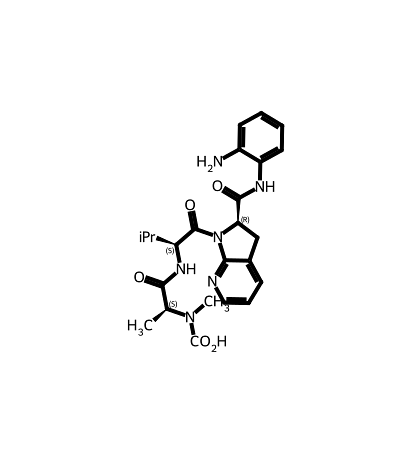 CC(C)[C@H](NC(=O)[C@H](C)N(C)C(=O)O)C(=O)N1c2ncccc2C[C@@H]1C(=O)Nc1ccccc1N